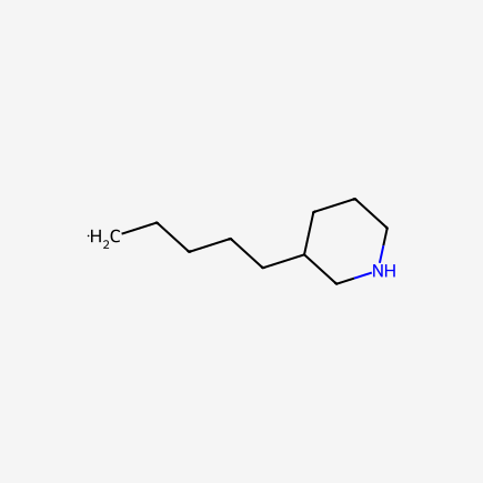 [CH2]CCCCC1CCCNC1